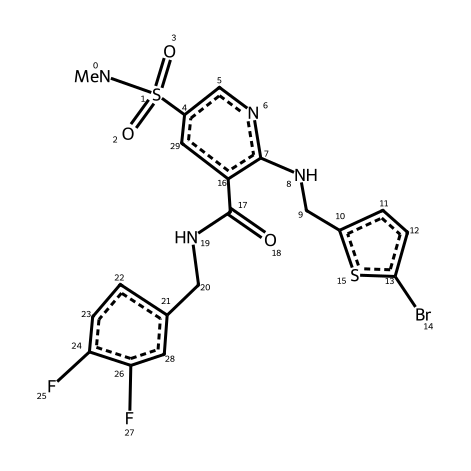 CNS(=O)(=O)c1cnc(NCc2ccc(Br)s2)c(C(=O)NCc2ccc(F)c(F)c2)c1